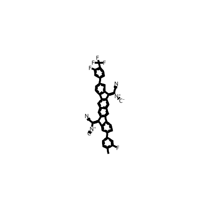 [C-]#[N+]/C(C#N)=C1/c2cc(-c3ccc(C(F)(F)F)c(F)c3)ccc2-c2cc3cc4c(cc3cc21)-c1ccc(-c2ccc(C)c(F)c2)cc1/C4=C(/C#N)[N+]#[C-]